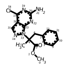 COC(=O)C(C)(Cc1ccccc1)n1ncc2c(Cl)nc(N)nc21